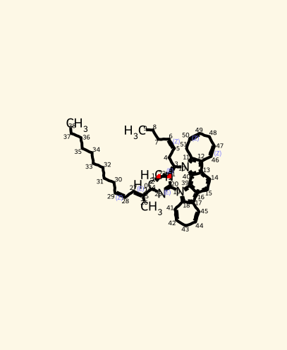 C=C/C=C(\C/C=C\CCC)n1c2c(c3ccc4c5c(n(/C(N=C)=N/C/C(C)=C/C=C\CCCCCCCCC)c4c31)C=CCC=C5)/C=C\C/C=C\C2